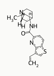 C=Cc1csc2ccc(C(=O)N[C@@H]3C4CCN(CC4)[C@H]3C)nc12